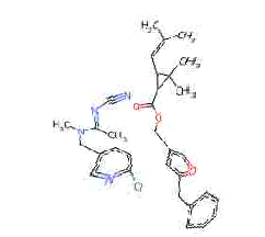 C/C(=N\C#N)N(C)Cc1ccc(Cl)nc1.CC(C)=CC1C(C(=O)OCc2coc(Cc3ccccc3)c2)C1(C)C